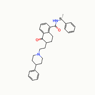 C[C@@H](NC(=O)c1cccc2c1CCC(CCN1CCC(c3ccccc3)CC1)C2=O)c1ccccc1